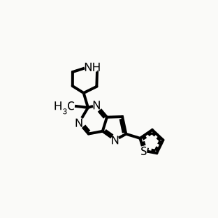 CC1(C2CCNCC2)N=CC2=NC(c3cccs3)=CC2=N1